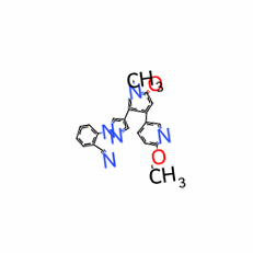 CCOc1ccc(-c2cc(=O)n(C)cc2-c2cnn(-c3ccccc3C#N)c2)cn1